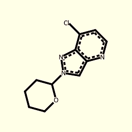 Clc1ccnc2cn(C3CCCCO3)nc12